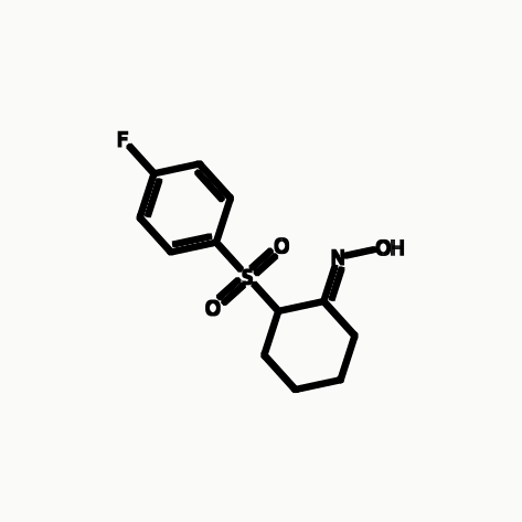 O=S(=O)(c1ccc(F)cc1)C1CCCCC1=NO